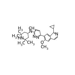 COc1cc2ccnc(C3CC3)c2cc1-c1ccc(N(C)C2CC(C)(C)NC(C)(C)C2)nn1